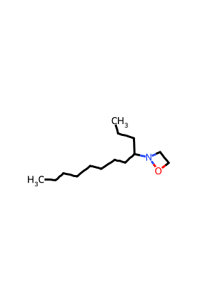 CCCCCCCCC(CCC)N1CCO1